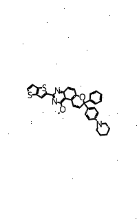 COc1nc(-c2cc3sccc3s2)nc2ccc3c(c12)C=CC(c1ccccc1)(c1ccc(N2CCCCC2)cc1)O3